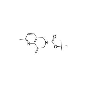 C=C1CN(C(=O)OC(C)(C)C)Cc2ccc(C)nc21